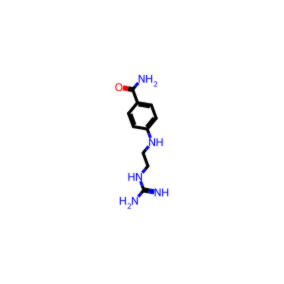 N=C(N)NCCNc1ccc(C(N)=O)cc1